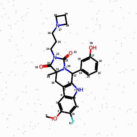 COc1cc2c3c([nH]c2cc1F)C(c1cccc(O)c1)N1C(=O)N(CCCN2CCC2)C(=O)C1(C)C3